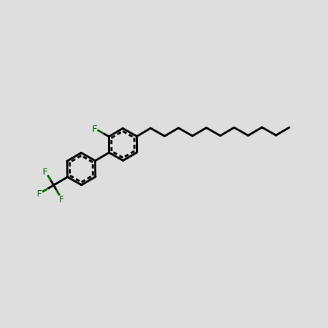 CCCCCCCCCCCc1ccc(-c2ccc(C(F)(F)F)cc2)c(F)c1